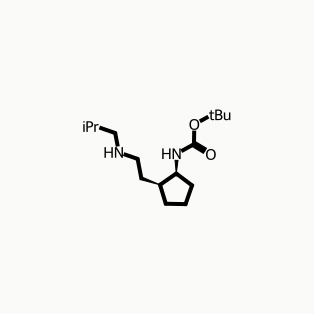 CC(C)CNCC[C@@H]1CCC[C@@H]1NC(=O)OC(C)(C)C